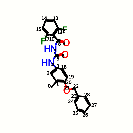 Cc1cc(NC(=O)NC(=O)c2c(F)cccc2F)ccc1OCc1ccccc1